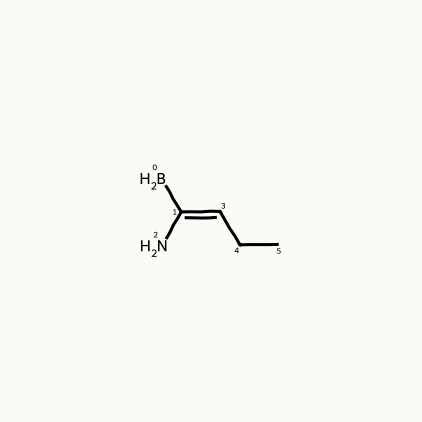 B/C(N)=C/CC